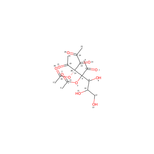 CC(=O)OC(C(C)=O)(C(O)C(O)CO)[C@@](OC(C)=O)(C(C)=O)C(=O)C(C)=O